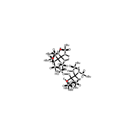 CCCCS(=O)(=O)N(F)C(N(F)S(=O)(=O)CCCC)(N(F)S(=O)(=O)CCCC)C(OOP(=O)(O)OOC(N(F)S(=O)(=O)CCCC)(C(N(F)S(=O)(=O)CCCC)(N(F)S(=O)(=O)CCCC)N(F)S(=O)(=O)CCCC)[N+](C)(F)S(=O)(=O)CCCC)(N(F)S(=O)(=O)CCCC)[N+](C)(F)S(=O)(=O)CCCC